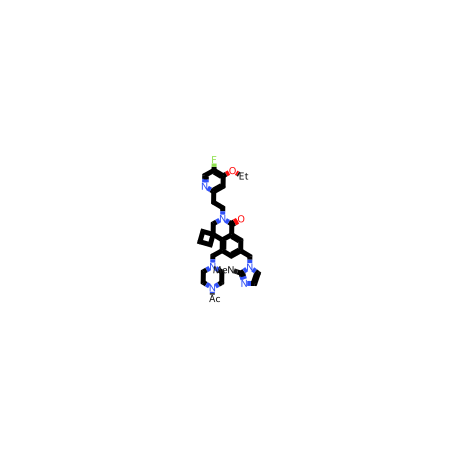 CCOc1cc(CCN2CC3(CCC3)c3c(CN4CCN(C(C)=O)CC4)cc(Cn4ccnc4NC)cc3C2=O)ncc1F